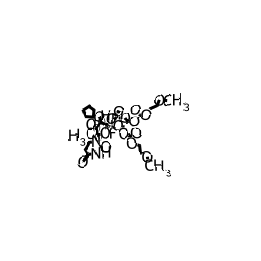 COCCOC(=O)OCOP(=O)(OCOC(=O)OCCOC)O[C@@]1(CF)O[C@@H](n2ccc(=O)[nH]c2=O)[C@]2(C)OC3(CCCC3)O[C@H]12